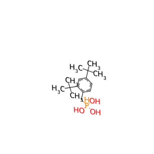 CC(C)(C)c1ccc(C[PH](O)(O)O)c(C(C)(C)C)c1